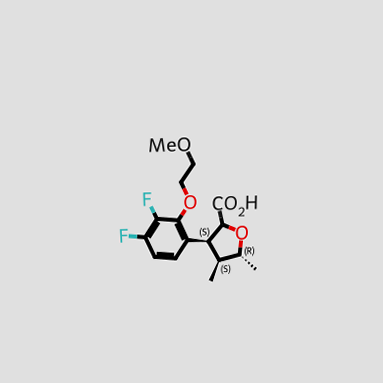 COCCOc1c([C@H]2C(C(=O)O)O[C@H](C)[C@H]2C)ccc(F)c1F